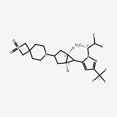 C[C@H](C(F)F)n1nc(C(F)(F)F)cc1C1[C@H]2CC(N3CCC4(CC3)CS(=O)(=O)C4)C[C@@H]12